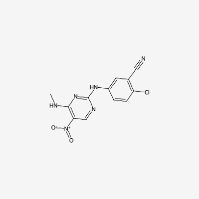 CNc1nc(Nc2ccc(Cl)c(C#N)c2)ncc1[N+](=O)[O-]